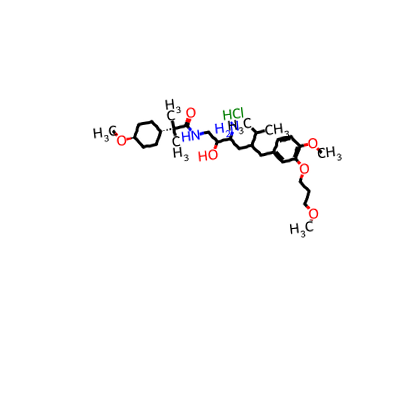 COCCCOc1cc(CC(CC(N)C(O)CNC(=O)C(C)(C)[C@H]2CC[C@H](OC)CC2)C(C)C)ccc1OC.Cl